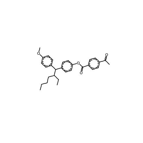 CCCCC(CC)C(c1ccc(OC)cc1)c1ccc(OC(=O)c2ccc(C(C)=O)cc2)cc1